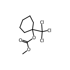 COC(=O)OC1(C(Cl)(Cl)Cl)CCCCC1